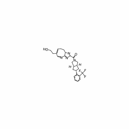 O=C(C1=NC2CC/C=C(CCO)\C=N/C2=N1)N1C[C@H]2C[C@@H](c3ccccc3C(F)(F)F)C[C@H]2C1